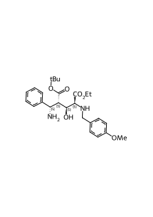 CCOC(=O)[C@@H](NCc1ccc(OC)cc1)[C@@H](O)[C@@H](C(=O)OC(C)(C)C)[C@H](N)c1ccccc1